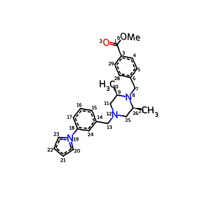 COC(=O)c1ccc(CN2[C@H](C)CN(Cc3cccc(-n4cccc4)c3)C[C@@H]2C)cc1